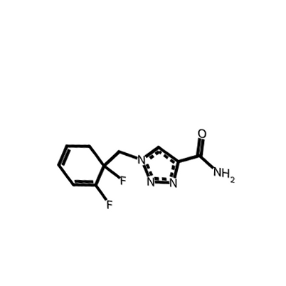 NC(=O)c1cn(CC2(F)CC=CC=C2F)nn1